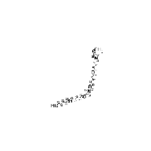 COC1CN(CCCCCOCCCCCOCN2CC(OCCCCCOCCCCCO)C2)C1